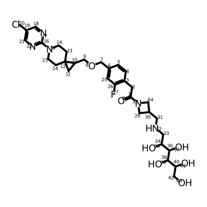 O=C(Cc1ccc(COCC2CC23CCN(c2ncc(Cl)cn2)CC3)cc1F)N1CC(CNCC(O)C(O)C(O)C(O)CO)C1